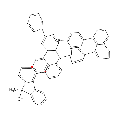 CC1(C)c2ccccc2-c2c(-c3cccc(N(c4ccc(-c5cccc6cccc(-c7ccc(F)cc7)c56)cc4)c4ccc(-c5ccccc5)cc4-c4ccccc4)c3)cccc21